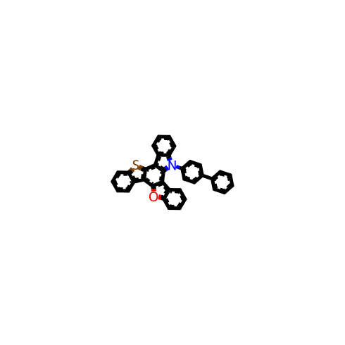 c1ccc(-c2ccc(-n3c4ccccc4c4c5sc6ccccc6c5c5oc6ccccc6c5c43)cc2)cc1